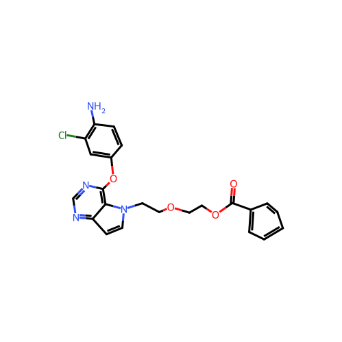 Nc1ccc(Oc2ncnc3ccn(CCOCCOC(=O)c4ccccc4)c23)cc1Cl